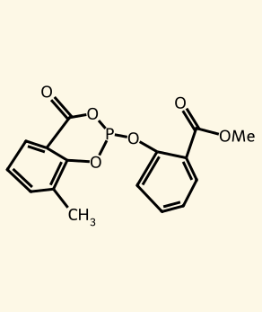 COC(=O)c1ccccc1OP1OC(=O)c2cccc(C)c2O1